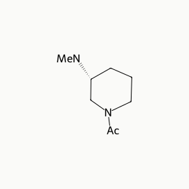 CN[C@@H]1CCCN(C(C)=O)C1